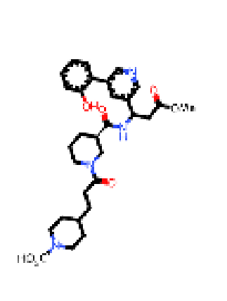 COC(=O)CC(NC(=O)[C@@H]1CCCN(C(=O)CCC2CCN(C(=O)O)CC2)C1)c1cncc(-c2ccccc2O)c1